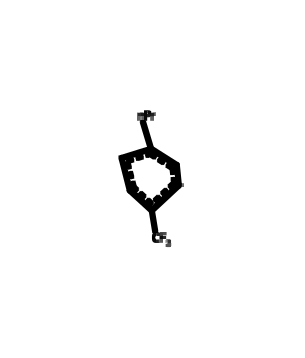 CCCc1c[c]c(C(F)(F)F)cc1